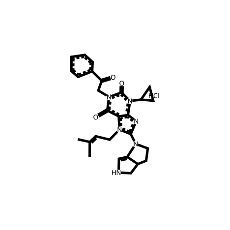 CC(C)=CCn1c(N2CCC3CNC=C32)nc2c1c(=O)n(CC(=O)c1ccccc1)c(=O)n2C1CC1.Cl